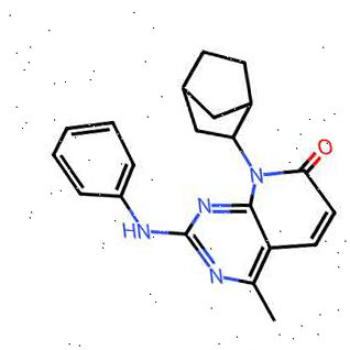 Cc1nc(Nc2ccccc2)nc2c1ccc(=O)n2C1CC2CCC1C2